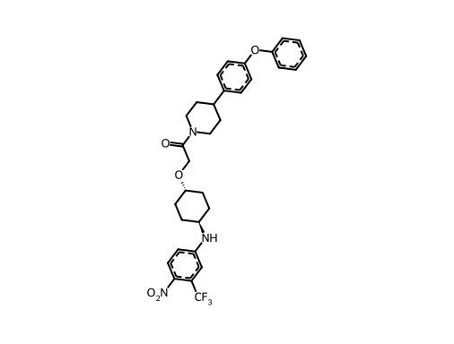 O=C(CO[C@H]1CC[C@H](Nc2ccc([N+](=O)[O-])c(C(F)(F)F)c2)CC1)N1CCC(c2ccc(Oc3ccccc3)cc2)CC1